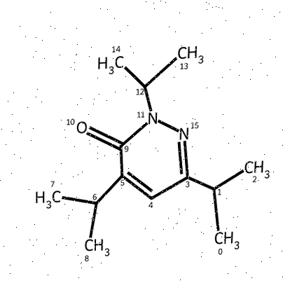 CC(C)c1cc(C(C)C)c(=O)n(C(C)C)n1